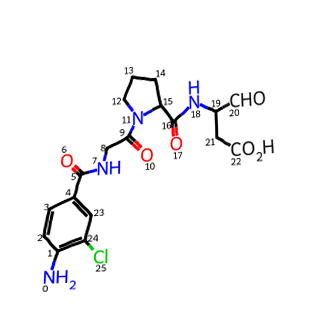 Nc1ccc(C(=O)NCC(=O)N2CCCC2C(=O)NC(C=O)CC(=O)O)cc1Cl